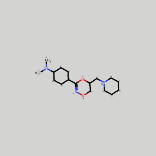 CN(C)C1CCC(C2=NOCC(CN3CCCCC3)O2)CC1